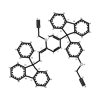 C#CCOC(/C=C\C(=C/C)C1(c2ccc(OCC#C)cc2)c2ccccc2-c2ccccc21)=C/CC1(c2ccccc2)c2ccccc2-c2ccccc21